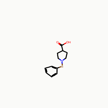 O=C(O)C1CCN(Sc2ccccc2)CC1